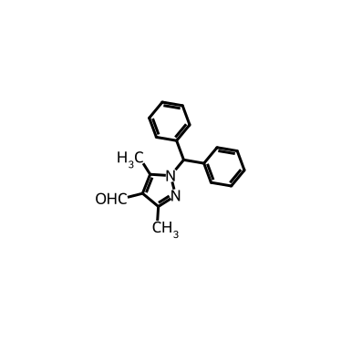 Cc1nn(C(c2ccccc2)c2ccccc2)c(C)c1C=O